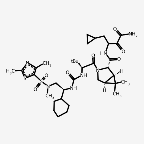 Cc1nc(C)c(S(=O)(=O)N(C)C[C@@H](NC(=O)N[C@H](C(=O)N2C[C@H]3[C@@H]([C@H]2C(=O)NC(CC2CC2)C(=O)C(N)=O)C3(C)C)C(C)(C)C)C2CCCCC2)s1